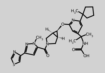 Cn1nc(-c2cscn2)cc1C(=O)N1C[C@@H]2[C@H](C1)[C@@H]2Oc1cc(C(C)(C)NC(=O)O)cc(C2(C)CCCC2)n1